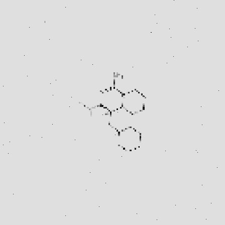 CNC[C@H](CC1CCCCC1)C1CCCCN1C(N)=S